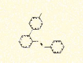 Clc1ccc(-c2ccccc2N=Nc2ccccc2)cc1